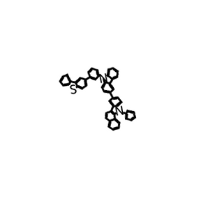 c1ccc(-n2c3ccc(-c4ccc5c(c4)c4ccccc4n5-c4cccc(-c5ccc6sc7ccccc7c6c5)c4)cc3c3ccc4ccccc4c32)cc1